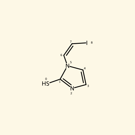 Sc1nccn1/C=C\I